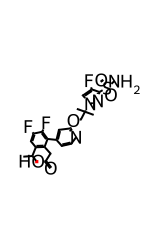 CC(C)c1cc(F)c(F)c(-c2ccnc(OCC(C)(C)n3cc(F)c(S(N)(=O)=O)n3)c2)c1CC(=O)O